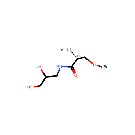 CCCCOC[C@@H](NC(C)=O)C(=O)NCC(O)CO